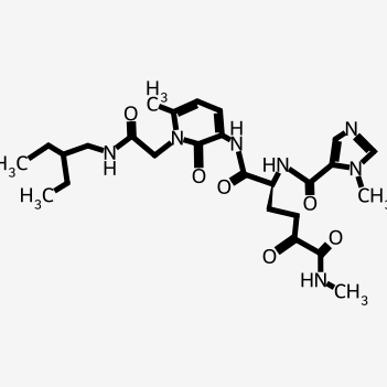 CCC(CC)CNC(=O)Cn1c(C)ccc(NC(=O)[C@H](CCC(=O)C(=O)NC)NC(=O)c2cncn2C)c1=O